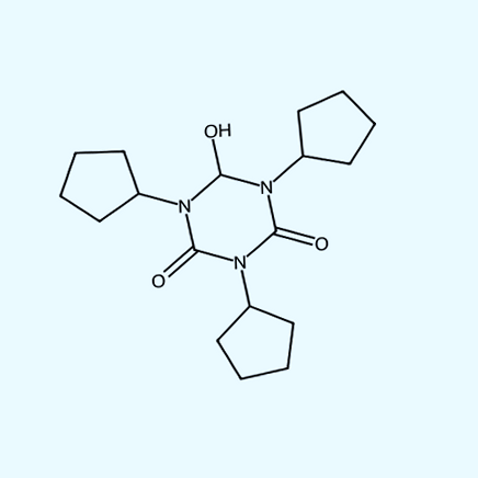 O=C1N(C2CCCC2)C(=O)N(C2CCCC2)C(O)N1C1CCCC1